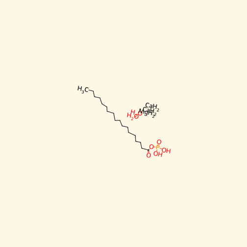 CCCCCCCCCCCCCCCCCC(=O)OP(=O)(O)O.O.O.[CaH2].[CaH2].[MgH2]